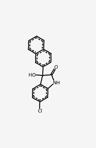 O=C1Nc2cc(Cl)ccc2C1(O)c1ccc2ccccc2c1